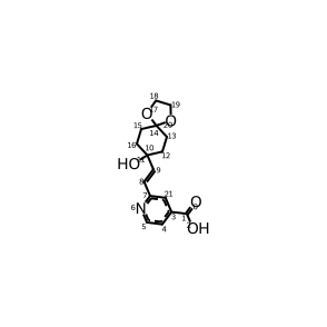 O=C(O)c1ccnc(/C=C/C2(O)CCC3(CC2)OCCO3)c1